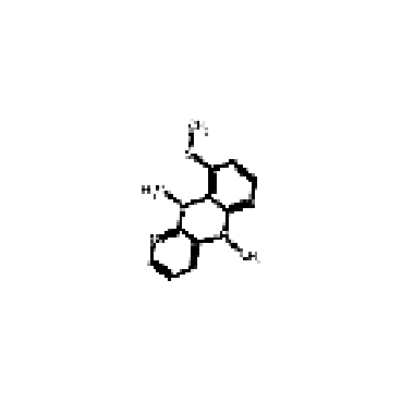 CSc1ccnc2c1N(C)c1ncccc1N2C